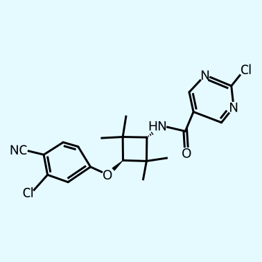 CC1(C)[C@H](NC(=O)c2cnc(Cl)nc2)C(C)(C)[C@H]1Oc1ccc(C#N)c(Cl)c1